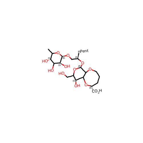 CCCCC[C@H](CO[C@@H]1OC(C)[C@@H](O)C(O)[C@@H]1O)O[C@@H]1OC(CO)[C@H](O)C2O[C@@H](C(=O)O)CCCOC21